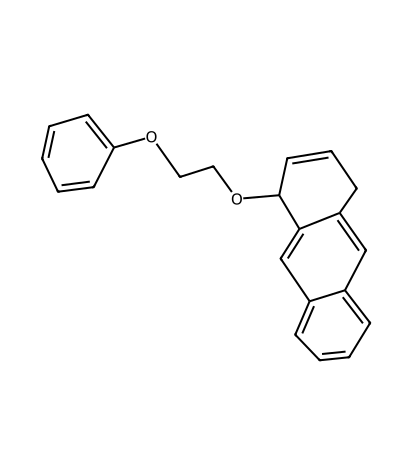 C1=CC(OCCOc2ccccc2)c2cc3ccccc3cc2C1